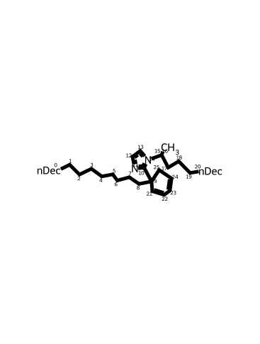 CCCCCCCCCCCCCCCCCCC1(c2nccn2C(C)CCCCCCCCCCCCC)C=CC=CC1